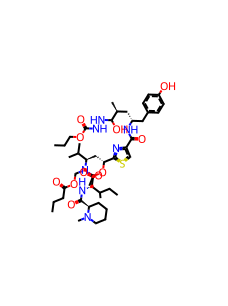 CCCOC(=O)NNC(O)[C@@H](C)C[C@H](Cc1ccc(O)cc1)NC(=O)c1csc([C@@H](C[C@H](C(C)C)N(COC(=O)CCC)C(=O)[C@@H](NC(=O)[C@H]2CCCCN2C)C(C)CC)OC(C)=O)n1